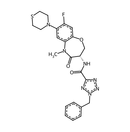 CN1C(=O)[C@@H](NC(=O)c2nnn(Cc3ccccc3)n2)COc2cc(F)c(N3CCSCC3)cc21